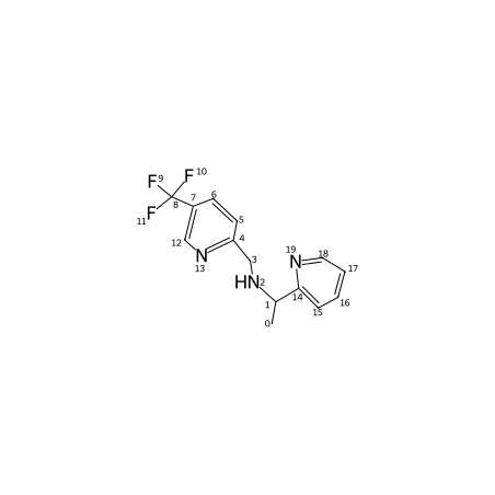 CC(NCc1ccc(C(F)(F)F)cn1)c1ccccn1